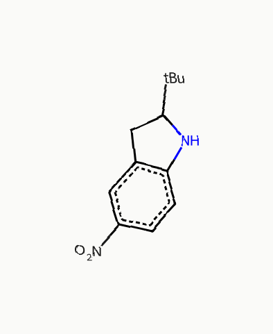 CC(C)(C)C1Cc2cc([N+](=O)[O-])ccc2N1